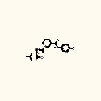 CC(C)C[C@H](NC(=O)N1CCCC(C(=O)Nc2ccc(Cl)cc2)C1)C(=O)O